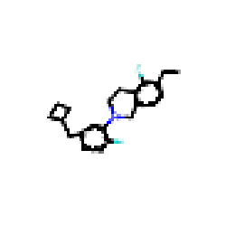 CCc1ccc2c(c1F)CCN(c1cc(CC3CCC3)ccc1F)C2